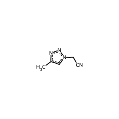 Cc1cn(CC#N)nn1